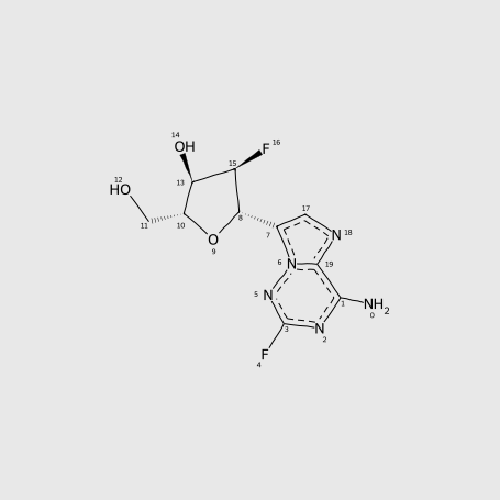 Nc1nc(F)nn2c([C@@H]3O[C@H](CO)[C@@H](O)[C@H]3F)cnc12